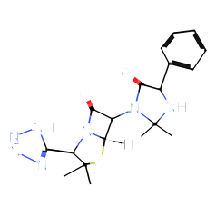 CC1(C)S[C@H]2C(N3C(=O)C(c4ccccc4)NC3(C)C)C(=O)N2C1c1nnn[nH]1